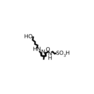 Cc1cc(CNCCCCCCO)nc(C(=O)NCCS(=O)(=O)O)c1